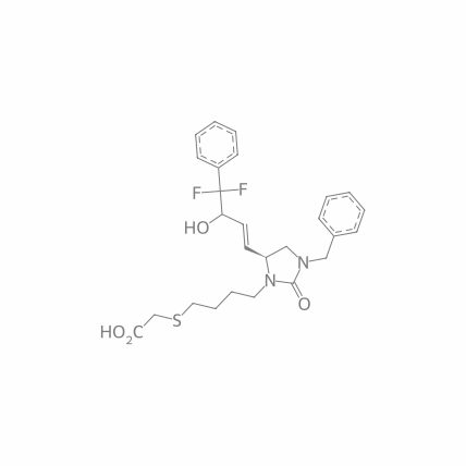 O=C(O)CSCCCCN1C(=O)N(Cc2ccccc2)C[C@@H]1C=CC(O)C(F)(F)c1ccccc1